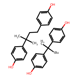 CC(C)(C)C(C)(c1ccc(O)cc1)c1ccc(O)cc1.CC(C)(CCc1ccc(O)cc1)c1ccc(O)cc1